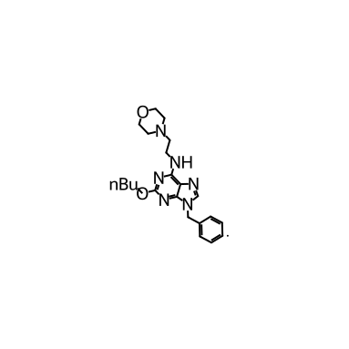 CCCCOc1nc(NCCN2CCOCC2)c2ncn(Cc3cc[c]cc3)c2n1